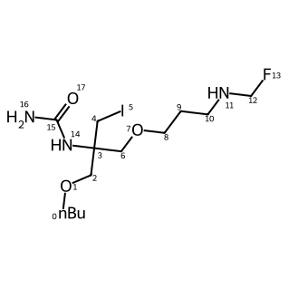 CCCCOCC(CI)(COCCCNCF)NC(N)=O